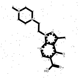 Cc1nn(CCN2CCN(C)CC2)c2ncc(C(=O)O)c(Cl)c12